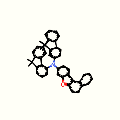 CC1(C)c2ccccc2-c2ccc(N(c3ccc4c(c3)oc3ccc5ccccc5c34)c3cccc4c3-c3ccccc3C4(C)C)cc21